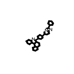 c1ccc(-c2cn3cc(-c4ccc(-c5nc6ccccc6c6c5ccc5ccccc56)cc4)ccc3n2)cc1